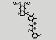 COc1cc2nccc(Oc3ccc(NC(=S)NC(=O)c4cccc(Cl)c4)c(C)c3C)c2cc1OC